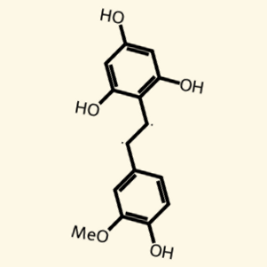 COc1cc([CH][CH]c2c(O)cc(O)cc2O)ccc1O